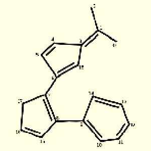 CC(C)=C1C=CC(C2=C(c3ccccc3)C=CC2)=C1